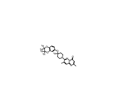 [2H]C1(Oc2ccc3c(c2)OC([2H])([2H])C([2H])([2H])O3)CCN(c2nn3c(=O)cc(C)nc3cc2C)CC1